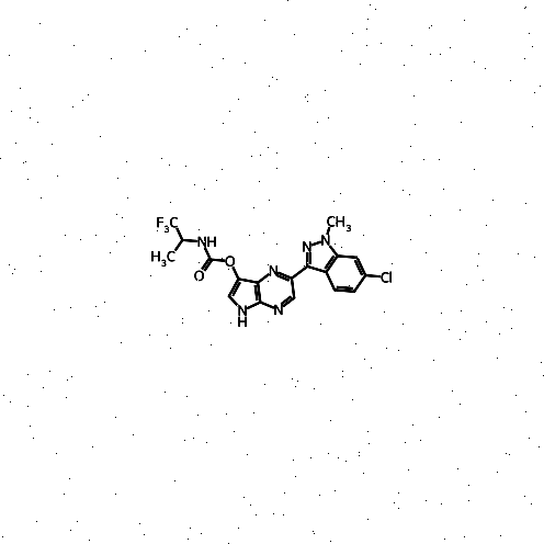 CC(NC(=O)Oc1c[nH]c2ncc(-c3nn(C)c4cc(Cl)ccc34)nc12)C(F)(F)F